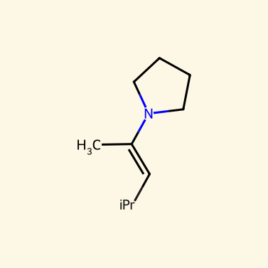 CC(=CC(C)C)N1CCCC1